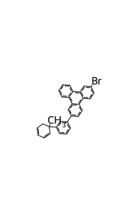 CC1(c2cccc(-c3ccc4c5ccc(Br)cc5c5ccccc5c4c3)c2)C=CC=CC1